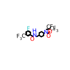 O=C(NCC1CCC(N2CC(C(F)(F)F)(C(F)(F)F)OC2=O)CC1)c1cc(F)cc(C(F)(F)F)c1